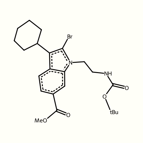 COC(=O)c1ccc2c(C3CCCCC3)c(Br)n(CCNC(=O)OC(C)(C)C)c2c1